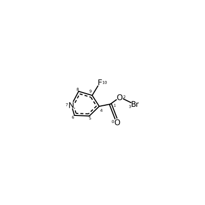 O=C(OBr)c1ccncc1F